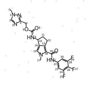 Cn1cnc(COC(=O)NC2CCc3c2cn(C)c3C(=O)Nc2cc(F)c(F)c(F)c2)n1